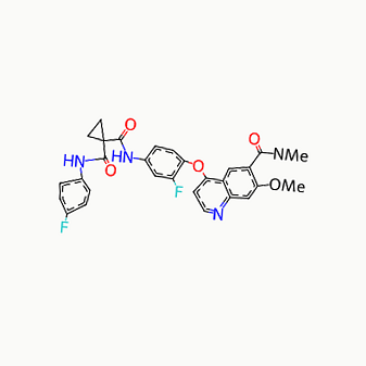 CNC(=O)c1cc2c(Oc3ccc(NC(=O)C4(C(=O)Nc5ccc(F)cc5)CC4)cc3F)ccnc2cc1OC